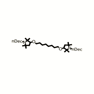 CCCCCCCCCCN1C(C)(C)CC(OCCCCCCCCOC2CC(C)(C)N(CCCCCCCCCC)C2(C)C)C1(C)C